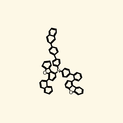 c1ccc(-c2cccc3oc4ccccc4c23)c(-c2ccc(N(c3ccc(-c4ccc(-c5ccc6ccccc6c5)cc4)cc3)c3ccc(-c4cccc5ccccc45)c4oc5ccccc5c34)cc2)c1